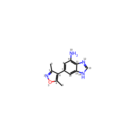 Cc1noc(C)c1-c1cc(N)c2nc[nH]c2c1